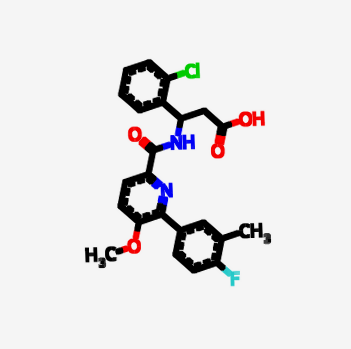 COc1ccc(C(=O)NC(CC(=O)O)c2ccccc2Cl)nc1-c1ccc(F)c(C)c1